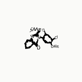 COc1cc(-n2c(SC)nc3ccccc3c2=O)c(Cl)cc1Cl